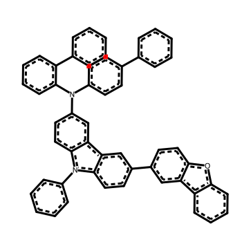 c1ccc(-c2ccc(N(c3ccc4c(c3)c3cc(-c5ccc6oc7ccccc7c6c5)ccc3n4-c3ccccc3)c3ccccc3-c3ccccc3)cc2)cc1